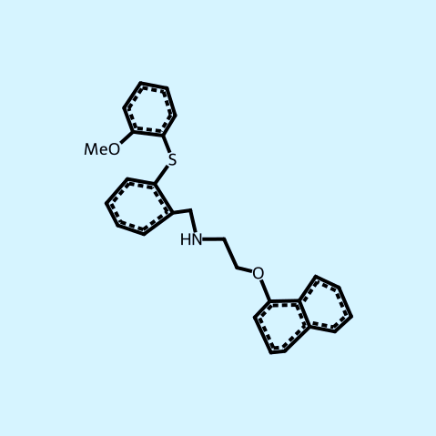 COc1ccccc1Sc1ccccc1CNCCOc1cccc2ccccc12